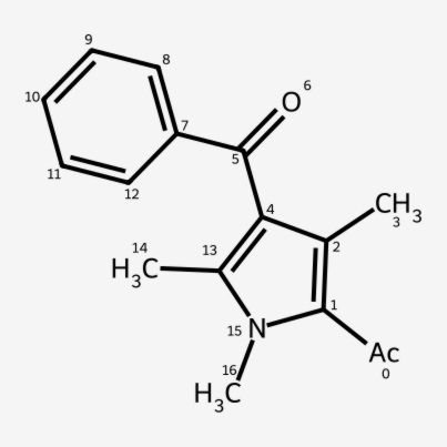 CC(=O)c1c(C)c(C(=O)c2ccccc2)c(C)n1C